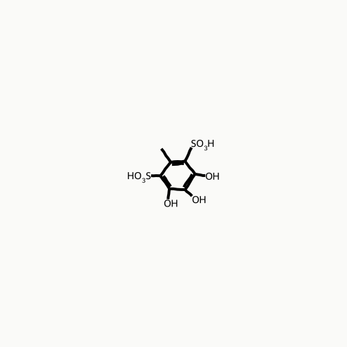 Cc1c(S(=O)(=O)O)c(O)c(O)c(O)c1S(=O)(=O)O